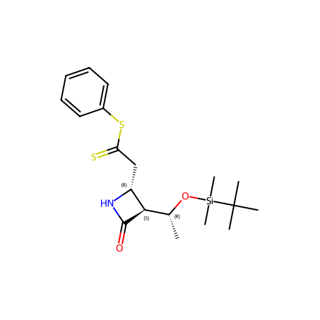 C[C@@H](O[Si](C)(C)C(C)(C)C)[C@H]1C(=O)N[C@@H]1CC(=S)Sc1ccccc1